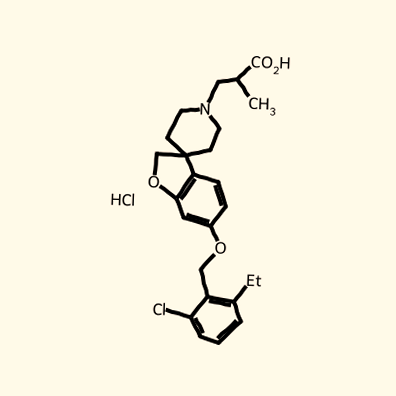 CCc1cccc(Cl)c1COc1ccc2c(c1)OCC21CCN(CC(C)C(=O)O)CC1.Cl